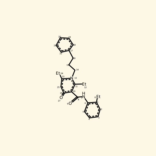 CCc1ccccc1NC(=O)c1c(CC)n(CCCc2ccccc2)c(CC)cc1=O